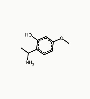 COc1ccc(C(C)N)c(O)c1